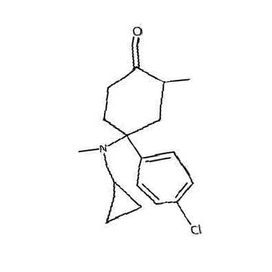 CC1CC(c2ccc(Cl)cc2)(N(C)C2CC2)CCC1=O